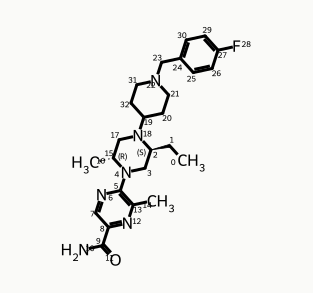 CC[C@H]1CN(c2ncc(C(N)=O)nc2C)[C@H](C)CN1C1CCN(Cc2ccc(F)cc2)CC1